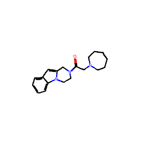 O=C(CN1CCCCCC1)N1CCn2c(cc3ccccc32)C1